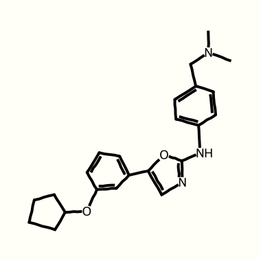 CN(C)Cc1ccc(Nc2ncc(-c3cccc(OC4CCCC4)c3)o2)cc1